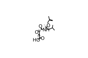 C=C(C)CO[C@@](C)(CC(C)C)NC(=O)[C@H]1O[C@@H]1C(=O)O